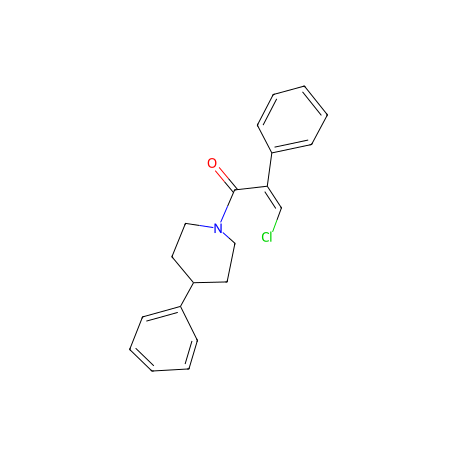 O=C(C(=CCl)c1ccccc1)N1CCC(c2ccccc2)CC1